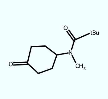 CN(C(=O)C(C)(C)C)C1CCC(=O)CC1